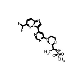 C[C@H](NS(C)(=O)=O)[C@@H]1CN(c2cc(-c3cnc4ccc(C(F)F)nn34)ncn2)CCO1